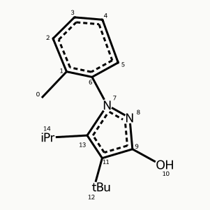 Cc1ccccc1-n1nc(O)c(C(C)(C)C)c1C(C)C